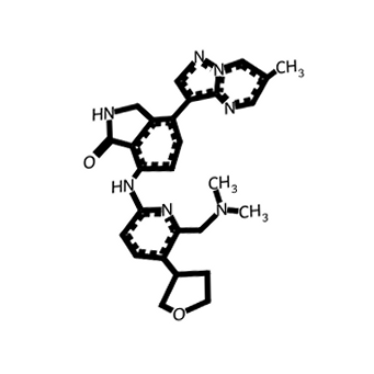 Cc1cnc2c(-c3ccc(Nc4ccc(C5CCOC5)c(CN(C)C)n4)c4c3CNC4=O)cnn2c1